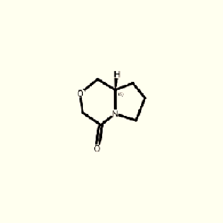 O=C1COC[C@@H]2CCCN12